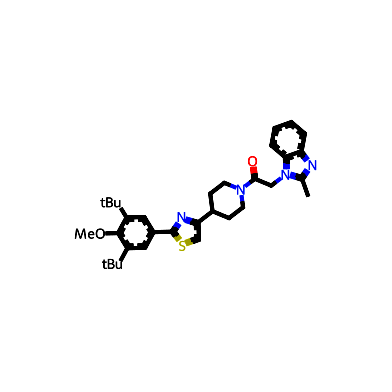 COc1c(C(C)(C)C)cc(-c2nc(C3CCN(C(=O)Cn4c(C)nc5ccccc54)CC3)cs2)cc1C(C)(C)C